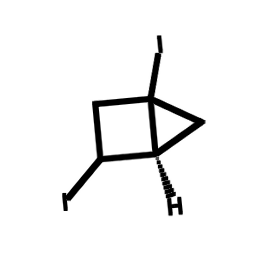 IC1CC2(I)C[C@@H]12